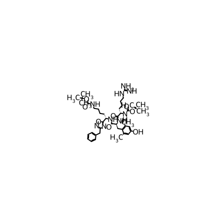 Cc1cc(O)cc(C)c1C[C@H](NC(=O)[C@H](CCCCNC(=N)N)NC(=O)OC(C)(C)C)C(=O)N[C@@H](CCCCNC(=O)OC(C)(C)C)c1nc(Cc2ccccc2)no1